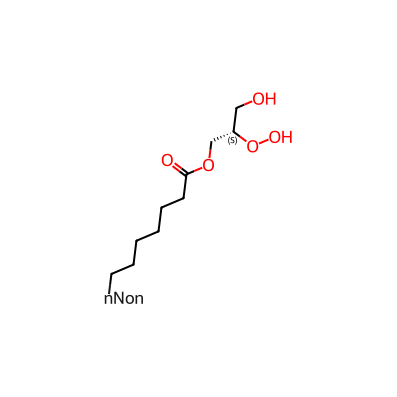 CCCCCCCCCCCCCCCC(=O)OC[C@H](CO)OO